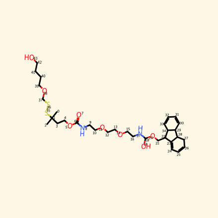 CC(C)(CCOC(=O)NCCOCCOCCNC(O)OCC1C2=CC=CCC2C2C=CC=CC12)SSCOCCCCO